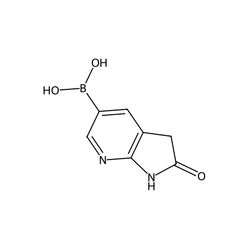 O=C1Cc2cc(B(O)O)cnc2N1